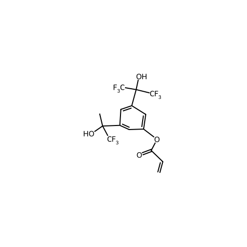 C=CC(=O)Oc1cc(C(C)(O)C(F)(F)F)cc(C(O)(C(F)(F)F)C(F)(F)F)c1